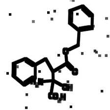 NC(O)(C(=O)O)C(Cc1ccccc1)C(=O)OCc1ccccc1